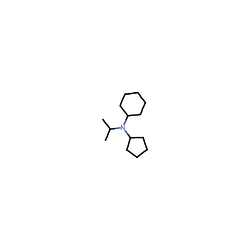 CC(C)N(C1CCCCC1)C1CCCC1